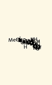 CO[C@]1(C)C[C@H](OC(=O)Nc2cc3cc(-c4cnc5c(c4C)NCCO5)c(F)c(N)c3cn2)C1